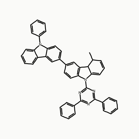 CC1C=CC=C2C1c1cc(-c3ccc4c(c3)c3ccccc3n4-c3ccccc3)ccc1N2c1nc(-c2ccccc2)nc(-c2ccccc2)n1